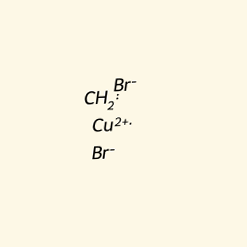 [Br-].[Br-].[CH2].[Cu+2]